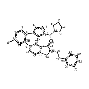 Cc1ccc(-c2cnn(CC3CCCC3)c2)c(-c2ccc3c(c2)C(=O)N(CCc2ccccc2)C3)n1